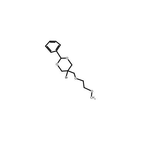 COCCOCC1(Br)COC(c2ccccc2)OC1